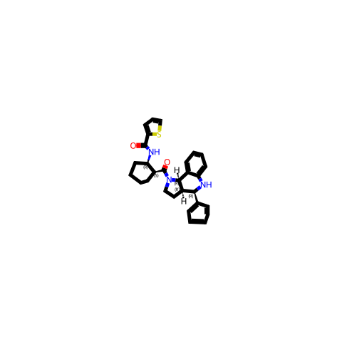 O=C(N[C@@H]1CCCC[C@@H]1C(=O)N1CC[C@@H]2[C@H](c3ccccc3)Nc3ccccc3[C@@H]21)c1cccs1